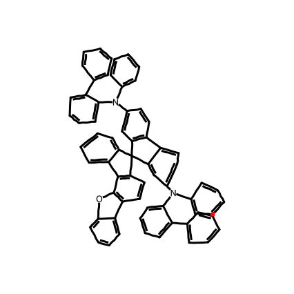 c1ccc(-c2ccccc2N(c2ccccc2)c2ccc3c(c2)C2(c4cc(N(c5ccccc5)c5ccccc5-c5ccccc5)ccc4-3)c3ccccc3-c3c2ccc2c3oc3ccccc32)cc1